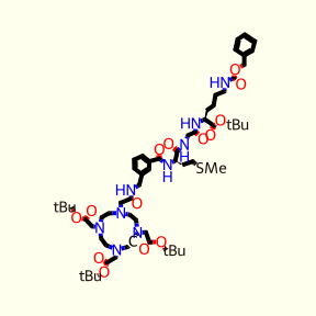 CSCC[C@H](NC(=O)c1cccc(CNC(=O)CN2CCN(CC(=O)OC(C)(C)C)CCN(CC(=O)OC(C)(C)C)CCN(CC(=O)OC(C)(C)C)CC2)c1)C(=O)NCC(=O)N[C@@H](CCCCNC(=O)OCc1ccccc1)C(=O)OC(C)(C)C